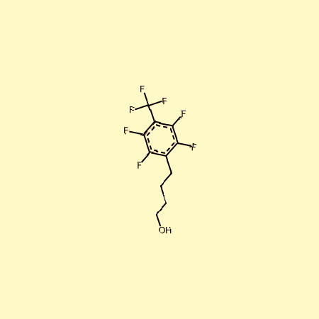 OCCCCc1c(F)c(F)c(C(F)(F)F)c(F)c1F